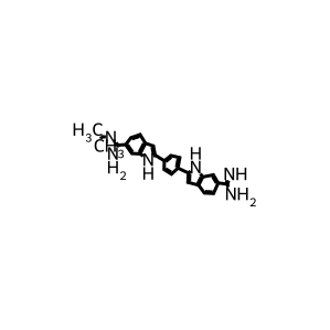 CC(C)/N=C(\N)c1ccc2cc(-c3ccc(-c4cc5ccc(C(=N)N)cc5[nH]4)cc3)[nH]c2c1